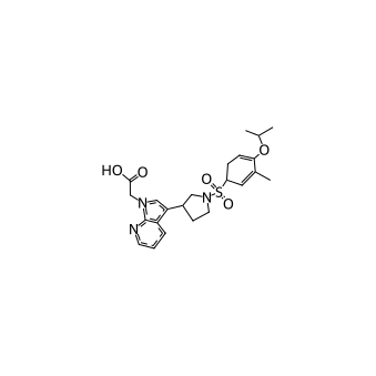 CC1=CC(S(=O)(=O)N2CCC(c3cn(CC(=O)O)c4ncccc34)C2)CC=C1OC(C)C